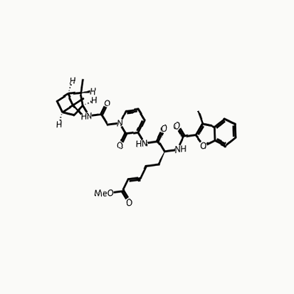 COC(=O)/C=C/CC[C@H](NC(=O)c1oc2ccccc2c1C)C(=O)Nc1cccn(CC(=O)N[C@H]2C[C@H]3C[C@@H]([C@@H]2C)C3(C)C)c1=O